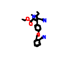 CCOC(=O)c1c(-c2ccc(OCc3ccccc3C#N)cc2)c(C#N)c(CC)n1C